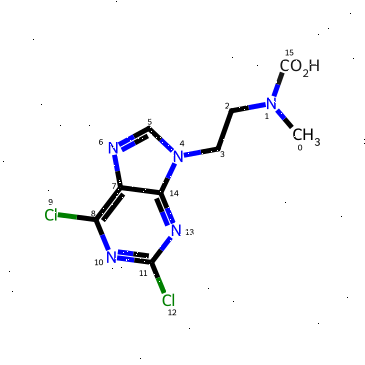 CN(CCn1cnc2c(Cl)nc(Cl)nc21)C(=O)O